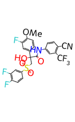 COc1ccc(C(O)(CS(=O)(=O)c2ccc(F)c(F)c2)C(=O)Nc2ccc(C#N)c(C(F)(F)F)c2)cc1F